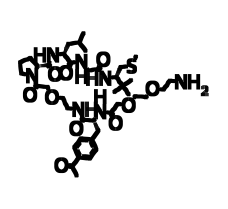 CSC[C@H](NC(=O)CNC(=O)[C@H](CC(C)C)NC(=O)[C@@H]1CCCN1C(=O)COCCNC(=O)[C@H](Cc1ccc(C(C)=O)cc1)NC(=O)COCCOCCN)C(C)(C)C